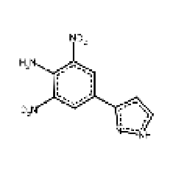 Nc1c([N+](=O)[O-])cc(-c2cc[nH]n2)cc1[N+](=O)[O-]